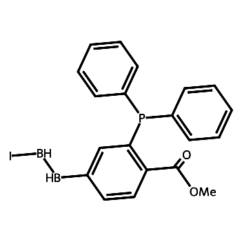 COC(=O)c1ccc(BBI)cc1P(c1ccccc1)c1ccccc1